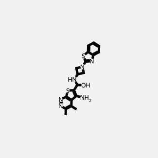 Cc1nnc2sc(C(O)NC3CN(c4nc5ccccc5s4)C3)c(N)c2c1C